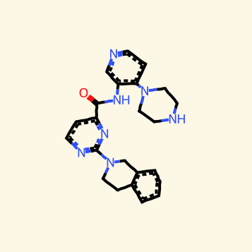 O=C(Nc1cnccc1N1CCNCC1)c1ccnc(N2CCc3ccccc3C2)n1